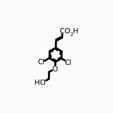 O=C(O)C=Cc1cc(Cl)c(OCCO)c(Cl)c1